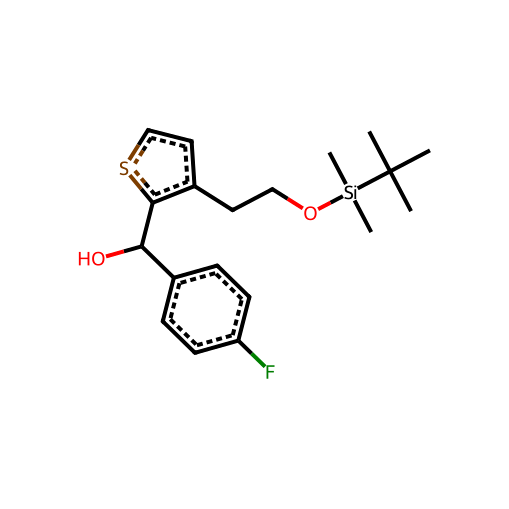 CC(C)(C)[Si](C)(C)OCCc1ccsc1C(O)c1ccc(F)cc1